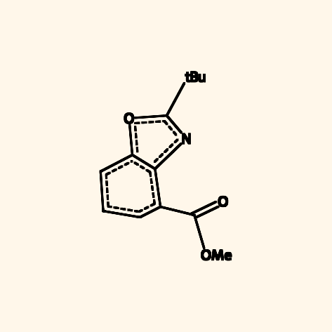 COC(=O)c1cccc2oc(C(C)(C)C)nc12